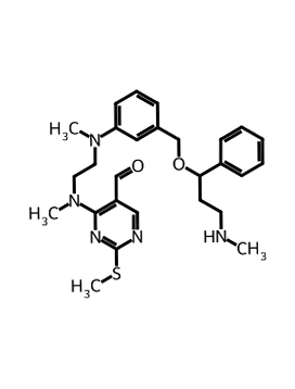 CNCCC(OCc1cccc(N(C)CCN(C)c2nc(SC)ncc2C=O)c1)c1ccccc1